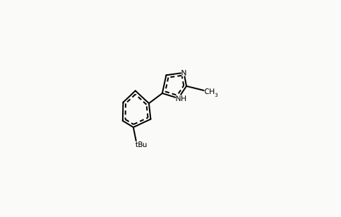 Cc1ncc(-c2cccc(C(C)(C)C)c2)[nH]1